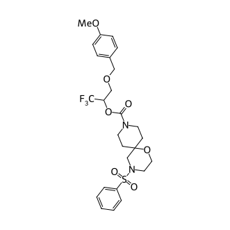 COc1ccc(COCC(OC(=O)N2CCC3(CC2)CN(S(=O)(=O)c2ccccc2)CCO3)C(F)(F)F)cc1